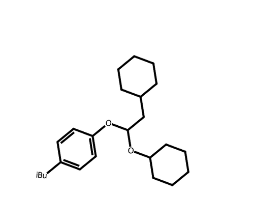 CCC(C)c1ccc(OC(CC2CCCCC2)OC2CCCCC2)cc1